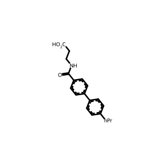 CCCc1ccc(-c2ccc(C(=O)NCCC(=O)O)cc2)cc1